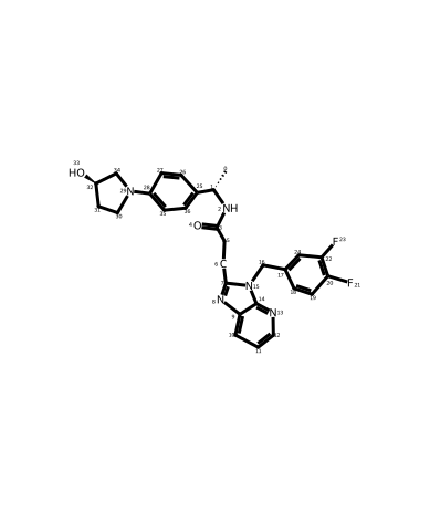 C[C@H](NC(=O)CCc1nc2cccnc2n1Cc1ccc(F)c(F)c1)c1ccc(N2CC[C@@H](O)C2)cc1